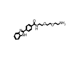 NCCOCCOCCNC(=O)c1ccc(-c2nc3ccccc3[nH]2)cc1